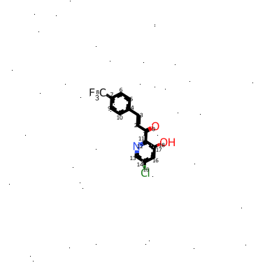 O=C(C=Cc1ccc(C(F)(F)F)cc1)c1ncc(Cl)cc1O